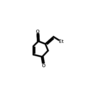 CCC=C1CC(=O)C=CC1=O